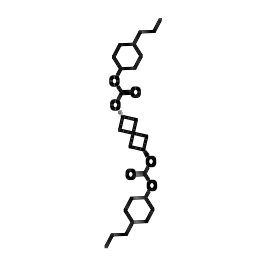 CCCC1CCC(OC(=O)O[C@H]2CC3(C[C@H](OC(=O)OC4CCC(CCC)CC4)C3)C2)CC1